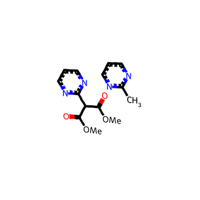 COC(=O)C(C(=O)OC)c1ncccn1.Cc1ncccn1